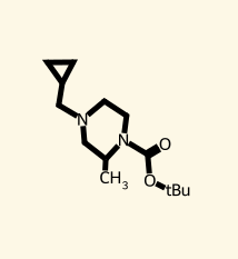 CC1CN(CC2CC2)CCN1C(=O)OC(C)(C)C